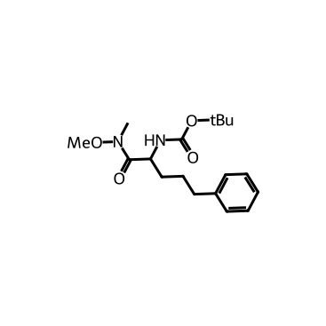 CON(C)C(=O)C(CCCc1ccccc1)NC(=O)OC(C)(C)C